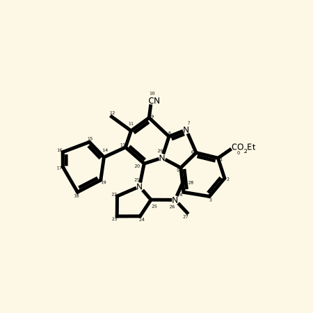 CCOC(=O)c1cccc2c1nc1c(C#N)c(C)c(-c3ccccc3)c(N3CCCC3N(C)C)n12